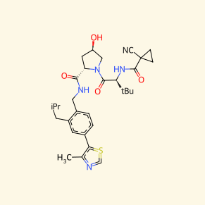 Cc1ncsc1-c1ccc(CNC(=O)[C@@H]2C[C@@H](O)CN2C(=O)[C@@H](NC(=O)C2(C#N)CC2)C(C)(C)C)c(CC(C)C)c1